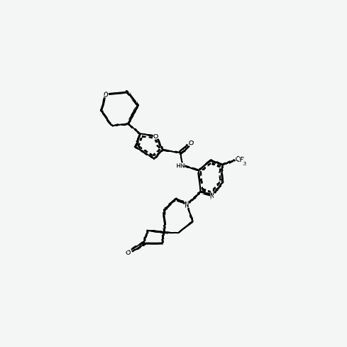 O=C1CC2(CCN(c3ncc(C(F)(F)F)cc3NC(=O)c3ccc(C4CCOCC4)o3)CC2)C1